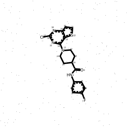 O=C(Nc1ccc(F)cc1)C1CCN(c2nc(Cl)nc3ccsc23)CC1